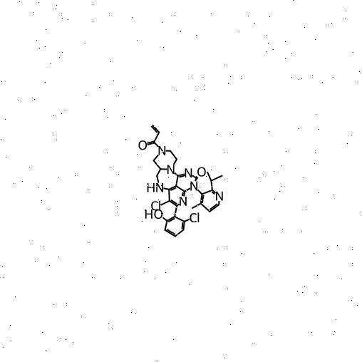 C=CC(=O)N1CCN2c3nc(=O)n(-c4c(C)ccnc4C(C)C)c4nc(-c5c(O)cccc5Cl)c(Cl)c(c34)NCC2C1